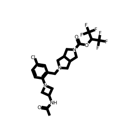 CC(=O)NC1CN(c2ccc(Cl)cc2CN2CC3CN(C(=O)OC(C(F)(F)F)C(F)(F)F)CC3C2)C1